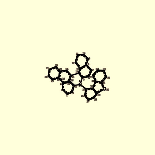 c1ccc(N(c2ccc3ccccc3c2-c2ccc3ccccc3c2)c2cccc3oc4ccccc4c23)cc1